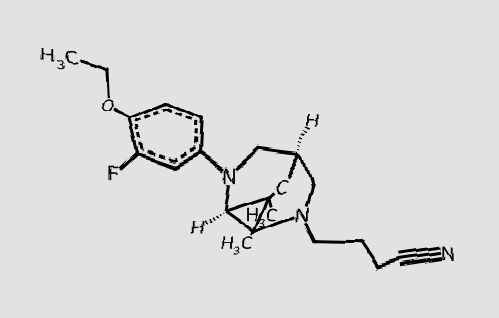 CCOc1ccc(N2C[C@H]3CN(CCCC#N)C[C@@H]2C(C)(C)C3)cc1F